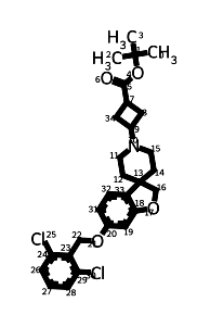 CC(C)(C)OC(=O)C1CC(N2CCC3(CC2)COc2cc(OCc4c(Cl)cccc4Cl)ccc23)C1